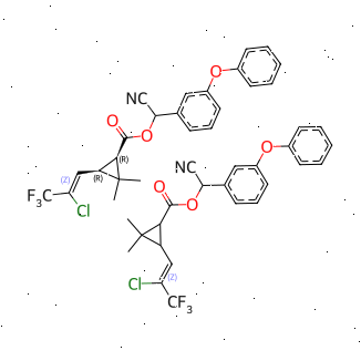 CC1(C)C(/C=C(\Cl)C(F)(F)F)C1C(=O)OC(C#N)c1cccc(Oc2ccccc2)c1.CC1(C)[C@H](C(=O)OC(C#N)c2cccc(Oc3ccccc3)c2)[C@@H]1/C=C(\Cl)C(F)(F)F